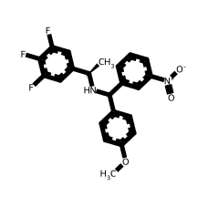 COc1ccc(C(N[C@H](C)c2cc(F)c(F)c(F)c2)c2cccc([N+](=O)[O-])c2)cc1